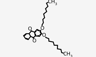 CCCCCCCCCCOc1cc2c(cc1OCCCCCCCCCC)C(=O)C1C=CC=CC1C2=O